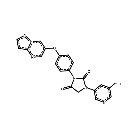 O=C1CN(c2cncc(C(F)(F)F)c2)C(=O)N1c1ccc(Oc2cnc3ccnn3c2)cc1